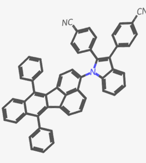 N#Cc1ccc(-c2c(-c3ccc(C#N)cc3)n(-c3ccc4c5c(cccc35)-c3c-4c(-c4ccccc4)c4ccccc4c3-c3ccccc3)c3ccccc23)cc1